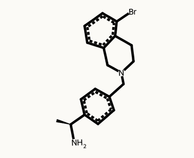 C[C@H](N)c1ccc(CN2CCc3c(Br)cccc3C2)cc1